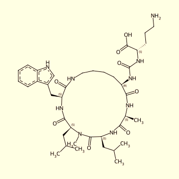 CC(C)C[C@@H]1NC(=O)[C@H](C)NC(=O)[C@H](NC(=O)N[C@@H](CCCN)C(=O)O)CCCCNC(=O)[C@H](Cc2c[nH]c3ccccc23)NC(=O)[C@H](CC(C)C)N(C)C1=O